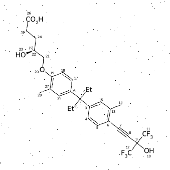 CCC(CC)(c1ccc(C#CC(O)(C(F)(F)F)C(F)(F)F)c(C)c1)c1ccc(OC[C@@H](O)CCC(=O)O)c(C)c1